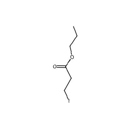 CCCOC(=O)CCI